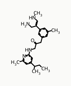 CCC(C)c1cc(C)nc(NCC(=O)Cc2cc(C)cc(/C(=C/NC)CN)c2)c1